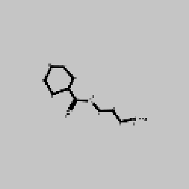 CCCCCCCCCCOC(=O)C1CCCCC1